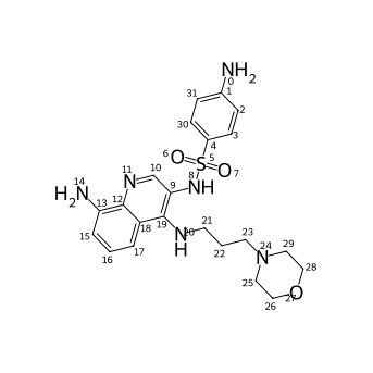 Nc1ccc(S(=O)(=O)Nc2cnc3c(N)cccc3c2NCCCN2CCOCC2)cc1